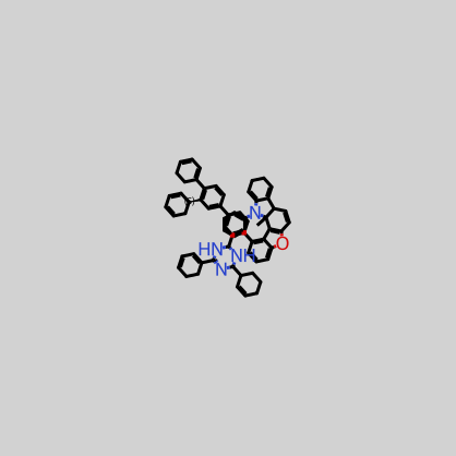 CC12c3c(oc4cccc(-c5ccc(-c6ccc(C7=CC=CCC7)c([C@@H]7C=CC=CC7)c6)cc5C5NC(C6=CC=CCC6)=NC(C6C=CCCC6)N5)c34)C=CC1C1=CCCC=C1N2C1=CCCC=C1